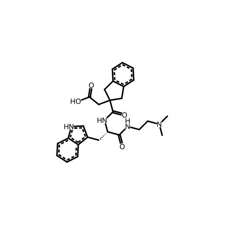 CN(C)CCNC(=O)[C@H](Cc1c[nH]c2ccccc12)NC(=O)C1(CC(=O)O)Cc2ccccc2C1